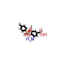 COc1cc(C(=O)O)cc(N)c1OS(=O)(=O)c1ccc(C)cc1